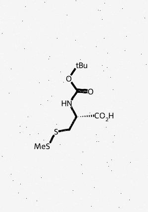 CSSC[C@H](NC(=O)OC(C)(C)C)C(=O)O